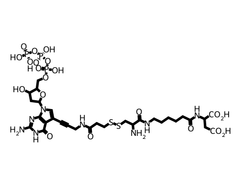 Nc1nc2c(c(C#CCNC(=O)CCSSCC(N)C(=O)NCCCCCC(=O)NC(CC(=O)O)C(=O)O)cn2C2CC(O)C(COP(=O)(O)OP(=O)(O)OP(=O)(O)O)O2)c(=O)[nH]1